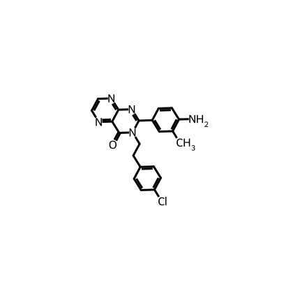 Cc1cc(-c2nc3nccnc3c(=O)n2CCc2ccc(Cl)cc2)ccc1N